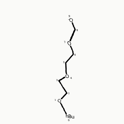 CCCCOCCOCCOC[O]